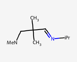 CNCC(C)(C)/C=N/C(C)C